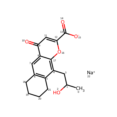 CC(O)Cc1c2c(cc3c(=O)cc(C(=O)[O-])oc13)CCCC2.[Na+]